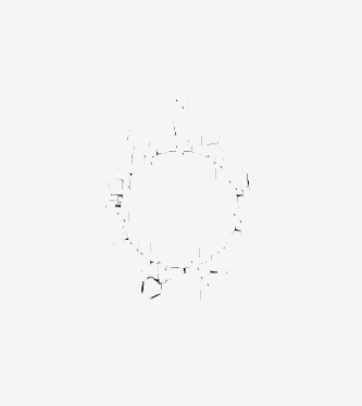 CCCC[C@@H]1NC(=O)[C@H](CCCCN)NC(O)[C@H](CC(C)C)NC(=O)[C@H](CC(C)C)NC(=O)[C@H](C)NC(=O)CSC[C@@H](C(N)=O)NC(=O)[C@H](Cc2ccccc2)NC(=O)[C@H](C)NC(=O)[C@H](C)NC(=O)[C@@H]2CCCN2C1=O